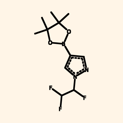 CC1(C)OB(c2cnn(C(F)C(F)F)c2)OC1(C)C